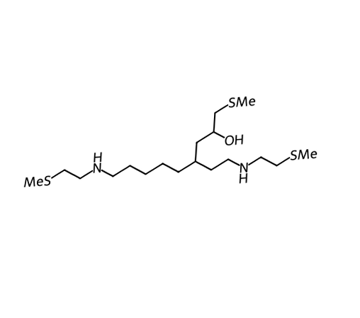 CSCCNCCCCCC(CCNCCSC)CC(O)CSC